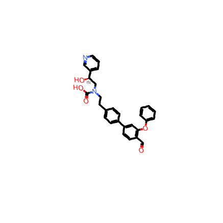 O=Cc1ccc(-c2ccc(CCN(C[C@@H](O)c3cccnc3)C(=O)O)cc2)cc1Oc1ccccc1